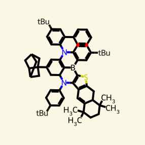 CC1(C)CCC(C)(C)C2Cc3sc4c(c3C=C21)N(C1=CCC(C(C)(C)C)C=C1)C1CC(C23CC5CC(C2)C3C5)=CC2=C1B4c1cc(C(C)(C)C)ccc1N2c1ccc(C(C)(C)C)cc1-c1ccccc1